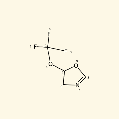 FC(F)(F)OC1CN=[C]O1